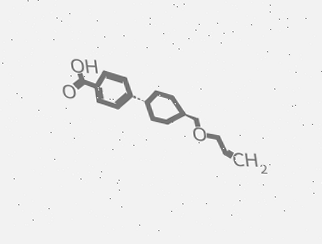 C=CCOC[C@H]1CC[C@H](c2ccc(C(=O)O)cc2)CC1